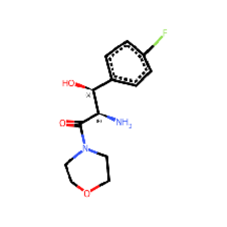 N[C@@H](C(=O)N1CCOCC1)[C@@H](O)c1ccc(F)cc1